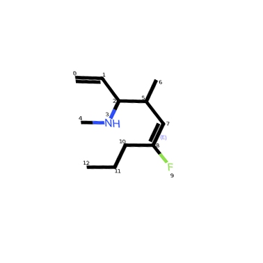 C=CC(NC)C(C)/C=C(/F)CCC